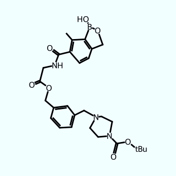 Cc1c(C(=O)NCC(=O)OCc2cccc(CN3CCN(C(=O)OC(C)(C)C)CC3)c2)ccc2c1B(O)OC2